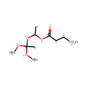 CCCCOC(C)(OCCCC)OC(C)OC(=O)CCC(=O)O